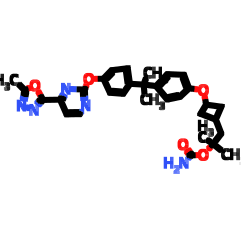 Cc1nnc(-c2ccnc(Oc3ccc(C(C)(C)c4ccc(OC5CC(CC(C)(C)OC(N)=O)C5)cc4)cc3)n2)o1